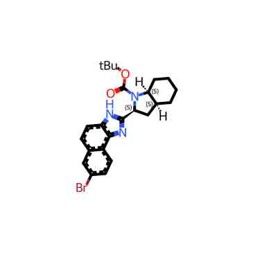 CC(C)(C)OC(=O)N1[C@H](c2nc3c(ccc4cc(Br)ccc43)[nH]2)C[C@@H]2CCCC[C@@H]21